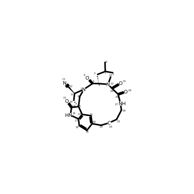 CC(C)C[C@H]1C(=O)N2C[C@]3(C[C@H]2C#N)C(=O)Nc2ccc(cc23)CCCCNC(=O)C(=O)N1C